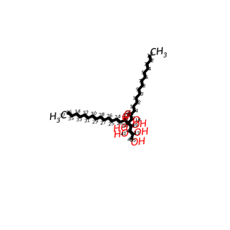 CCCCCCCCCCCCCCCC(=O)C(=O)[C@@](O)(C(=O)CCCCCCCCCCCCCCC)[C@@H](O)[C@H](O)[C@H](O)CO